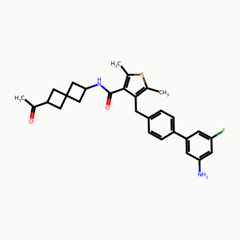 CC(=O)C1CC2(CC(NC(=O)c3c(C)sc(C)c3Cc3ccc(-c4cc(N)cc(F)c4)cc3)C2)C1